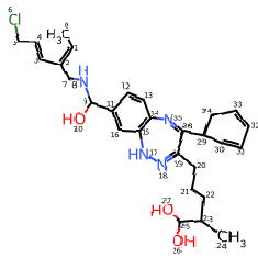 CC=C(C=CCCl)CNC(O)c1ccc2c(c1)NN=C(CCCC(C)C(O)O)C(C1C=CC=CC1)=N2